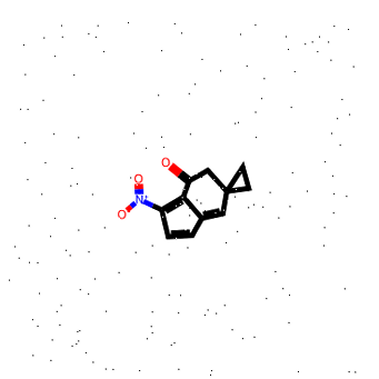 O=C1CC2(C=C3C=CC([N+](=O)[O-])=C13)CC2